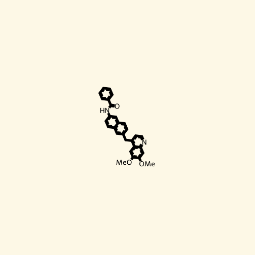 COc1cc2nccc(Cc3ccc4cc(NC(=O)c5ccccc5)ccc4c3)c2cc1OC